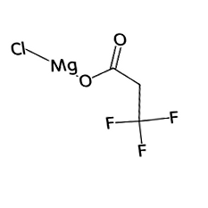 O=C(CC(F)(F)F)[O][Mg][Cl]